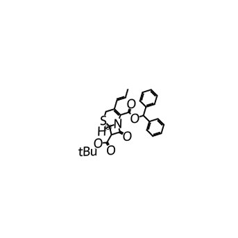 CC=CC1=C(C(=O)OC(c2ccccc2)c2ccccc2)N2C(=O)C(C(=O)OC(C)(C)C)[C@@H]2SC1